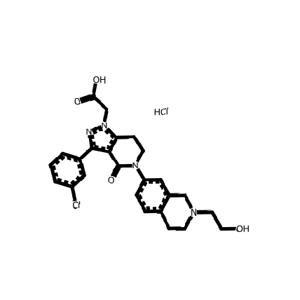 Cl.O=C(O)Cn1nc(-c2cccc(Cl)c2)c2c1CCN(c1ccc3c(c1)CN(CCO)CC3)C2=O